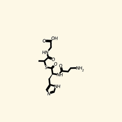 CC(SC(=O)[C@H](Cc1cnc[nH]1)NC(=O)CCN)C(=O)NCC(=O)O